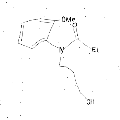 CCC(=O)N(CCCO)c1ccccc1OC